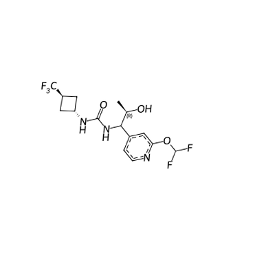 C[C@@H](O)C(NC(=O)N[C@H]1C[C@H](C(F)(F)F)C1)c1ccnc(OC(F)F)c1